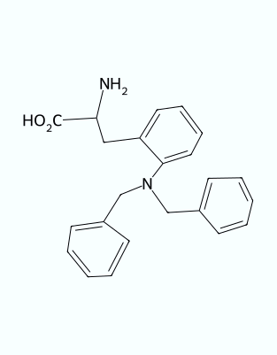 NC(Cc1ccccc1N(Cc1ccccc1)Cc1ccccc1)C(=O)O